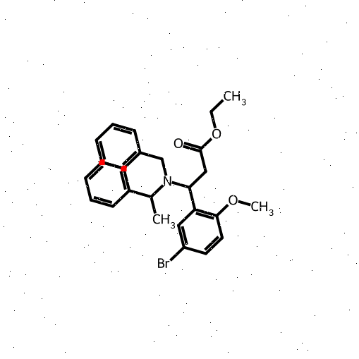 CCOC(=O)CC(c1cc(Br)ccc1OC)N(Cc1ccccc1)C(C)c1ccccc1